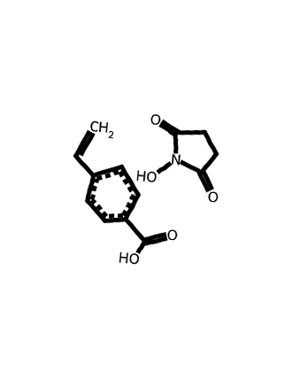 C=Cc1ccc(C(=O)O)cc1.O=C1CCC(=O)N1O